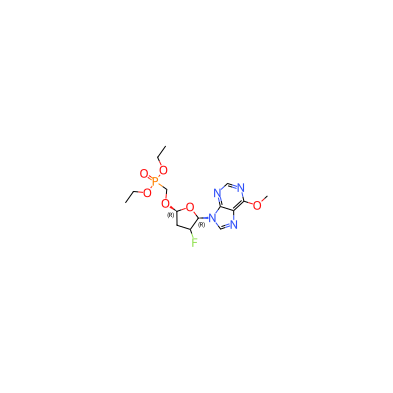 CCOP(=O)(CO[C@@H]1CC(F)[C@H](n2cnc3c(OC)ncnc32)O1)OCC